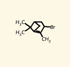 CC1=C2CC(CC1Br)C2(C)C